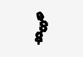 Cc1nc2cc(-c3ccc4ncc(N5CC6CCC(C5)O6)nc4n3)ccc2o1